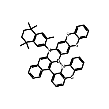 Cc1cc2c(cc1N1c3cc4c(cc3B3c5c1cc1ccccc1c5-c1cccc5c1N3c1ccccc1S5)Sc1ccccc1S4)C(C)(C)CCC2(C)C